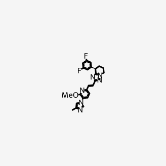 COc1nc(/C=C/c2nc3n(n2)CCC[C@@H]3c2cc(F)cc(F)c2)ccc1-n1cnc(C)c1